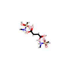 CN(OC(=O)CCC(=O)ON(C)S(C)(=O)=O)S(C)(=O)=O